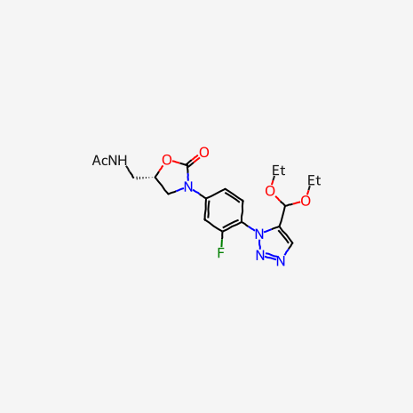 CCOC(OCC)c1cnnn1-c1ccc(N2C[C@H](CNC(C)=O)OC2=O)cc1F